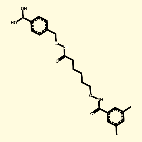 Cc1cc(C)cc(C(=O)NOCCCCCC(=O)NOCc2ccc(B(O)O)cc2)c1